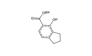 COC(=O)c1ccc2c(c1O)CCC2